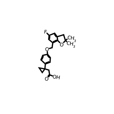 CC1(C)Cc2cc(F)cc(COc3ccc(C4(CC(=O)O)CC4)cc3)c2O1